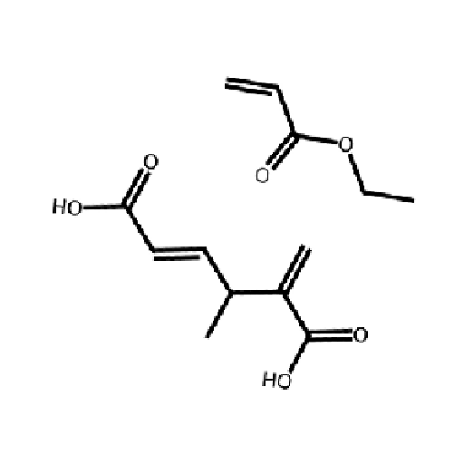 C=C(C(=O)O)C(C)C=CC(=O)O.C=CC(=O)OCC